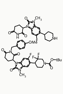 COc1ccc(CN2C(=O)CCC(n3c(=O)n(C)c4cc(C5CCN(C(=O)OC(C)(C)C)CC5(F)F)c(F)cc43)C2=O)cc1.Cn1c(=O)n(C2CCC(=O)NC2=O)c2cc(F)c(C3CCNCC3)cc21